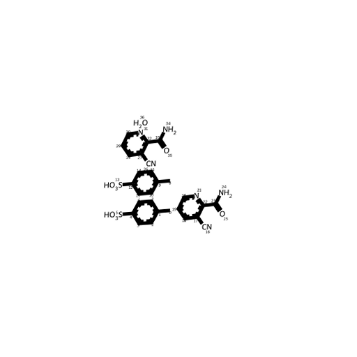 Cc1ccc(S(=O)(=O)O)cc1.Cc1ccc(S(=O)(=O)O)cc1.N#Cc1cccnc1C(N)=O.N#Cc1cccnc1C(N)=O.O